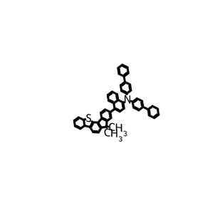 CC1(C)c2cc(-c3ccc(N(c4ccc(C5=CC=CCC5)cc4)c4ccc(-c5ccccc5)cc4)c4ccccc34)ccc2-c2c1ccc1c2SC2C=CC=CC12